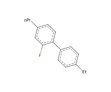 CCCc1ccc(-c2ccc(CC)cc2)c(F)c1